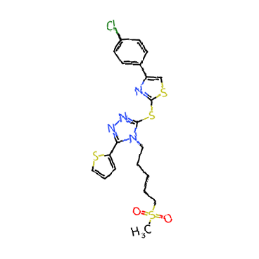 CS(=O)(=O)CCCCCn1c(Sc2nc(-c3ccc(Cl)cc3)cs2)nnc1-c1cccs1